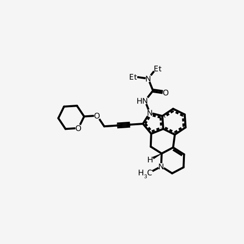 CCN(CC)C(=O)Nn1c(C#CCOC2CCCCO2)c2c3c(cccc31)C1=CCCN(C)[C@@H]1C2